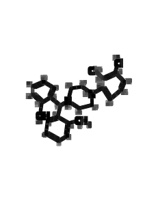 Cc1ccccc1C(c1ccccc1O)N1CCN(c2cccc(Cl)c2Cl)CC1